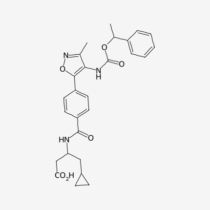 Cc1noc(-c2ccc(C(=O)NC(CC(=O)O)CC3CC3)cc2)c1NC(=O)OC(C)c1ccccc1